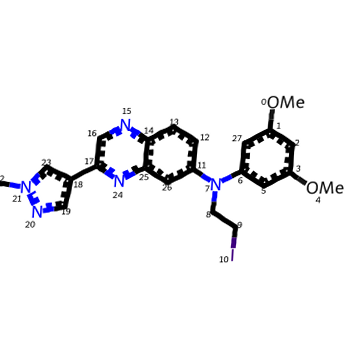 COc1cc(OC)cc(N(CCI)c2ccc3ncc(-c4cnn(C)c4)nc3c2)c1